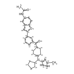 CC(=O)Nc1ccc2oc(-c3ccnc(C(=O)N4CCN(C(C5=NN(C)NN5)C5CCCC5)CC4)c3)nc2c1